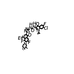 CCn1cc(-c2nnc(NC(=O)Nc3cn(C4CC4)c4cc(Cl)c(F)cc4c3=O)s2)c(=O)c2cc(F)c(N3CCN(C)C(C)C3)c(F)c21